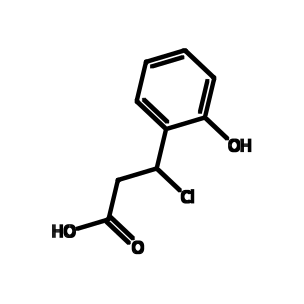 O=C(O)CC(Cl)c1ccccc1O